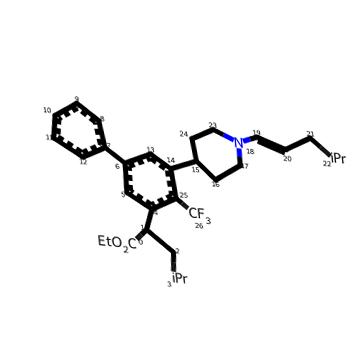 CCOC(=O)C(CC(C)C)c1cc(-c2ccccc2)cc(C2CCN(C=CCC(C)C)CC2)c1C(F)(F)F